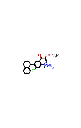 C[N+]1(N)C=C(OC(=O)O)C(=O)c2cc(C3CCCc4ccccc43)c(Cl)cc21